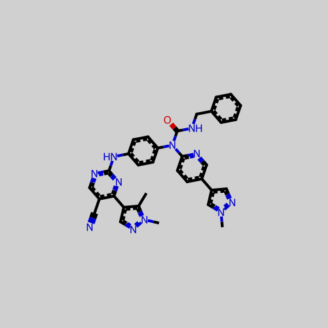 Cc1c(-c2nc(Nc3ccc(N(C(=O)NCc4ccccc4)c4ccc(-c5cnn(C)c5)cn4)cc3)ncc2C#N)cnn1C